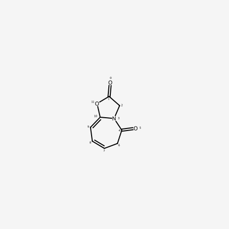 O=C1CN2C(=O)CC=CC=C2O1